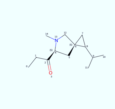 CCC(=O)[C@@H]1C[C@]2(CC2C(C)C)CN1C